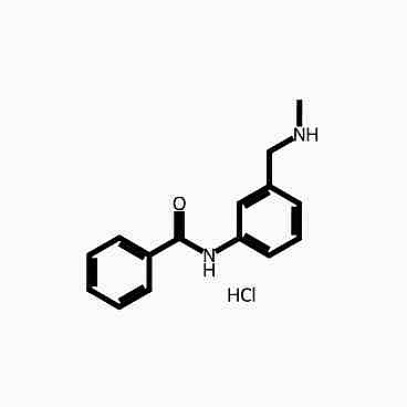 CNCc1cccc(NC(=O)c2ccccc2)c1.Cl